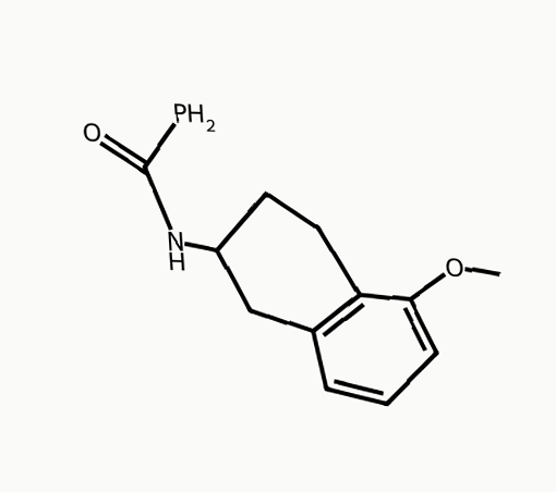 COc1cccc2c1CCC(NC(=O)P)C2